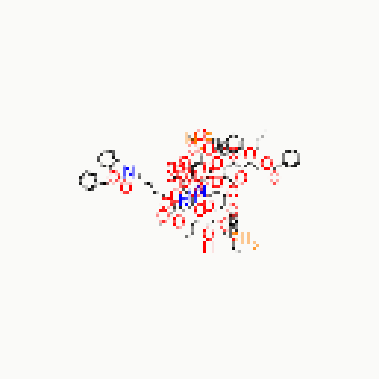 CCCCO[C@@H](CO)C1O[C@H](O[C@H]2C([C@H]3COC(C)(C)O3)O[C@@](OCCCCCN(Cc3ccccc3)C(=O)OCc3ccccc3)(C(=O)OC)C[C@H]2OCCCC)[C@H](OC(C)=O)C(OC2O[C@@H]([C@H](COC(=O)c3ccccc3)OCCCC)[C@@H](OB=BP)C(OC(=O)c3ccccc3)C2O[C@H]2OC(COC(C)=O)[C@@H](OC(C)=O)[C@@H](OC(C)=O)C2N=[N+]=[N-])[C@@H]1OB=BP